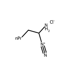 CCCCC(N)[N+]#N.[Cl-]